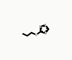 CCCOc1n[c]sn1